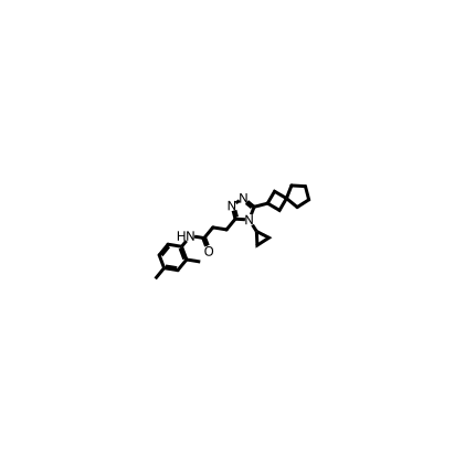 Cc1ccc(NC(=O)CCc2nnc(C3CC4(CCCC4)C3)n2C2CC2)c(C)c1